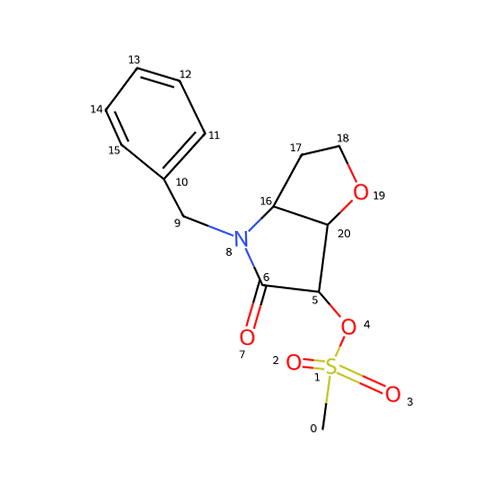 CS(=O)(=O)OC1C(=O)N(Cc2ccccc2)C2CCOC12